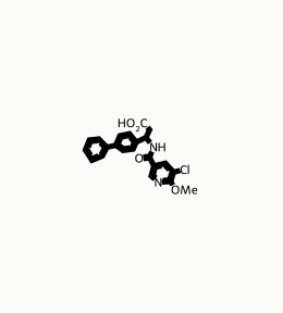 COc1ncc(C(=O)NC(CC(=O)O)c2ccc(-c3ccccc3)cc2)cc1Cl